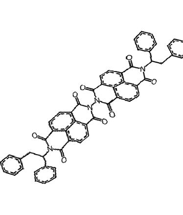 O=C1c2ccc3c4c(ccc(c24)C(=O)N1C(Cc1ccccc1)c1ccccc1)C(=O)N(N1C(=O)c2ccc4c5c(ccc(c25)C1=O)C(=O)N(C(Cc1ccccc1)c1ccccc1)C4=O)C3=O